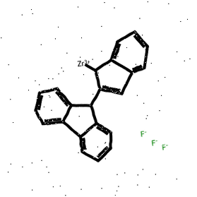 [F-].[F-].[F-].[Zr+3][CH]1C(C2c3ccccc3-c3ccccc32)=Cc2ccccc21